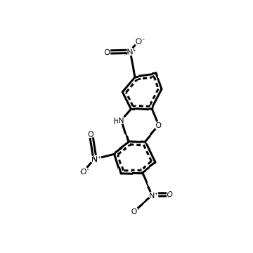 O=[N+]([O-])c1ccc2c(c1)Nc1c(cc([N+](=O)[O-])cc1[N+](=O)[O-])O2